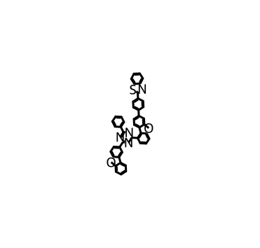 c1ccc(-c2nc(-c3ccc4oc5ccccc5c4c3)nc(-c3cccc4oc5cc(-c6ccc(-c7nc8ccccc8s7)cc6)ccc5c34)n2)cc1